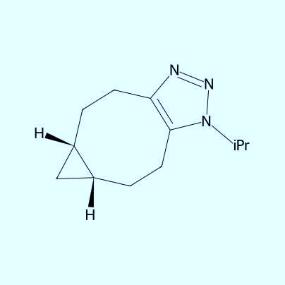 CC(C)n1nnc2c1CC[C@@H]1C[C@@H]1CC2